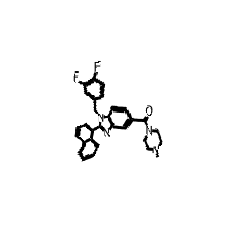 CN1CCN(C(=O)c2ccc3c(c2)nc(-c2cccc4ccccc24)n3Cc2ccc(F)c(F)c2)CC1